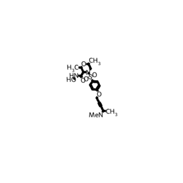 CNC(C)C#CCOc1ccc(S(=O)(=O)N2CC(C)OC(C)C2C(=O)NO)cc1